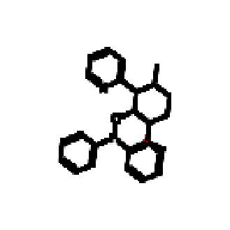 CC1CC[C@H](C(C)C)[C@@H](OP(c2ccccc2)c2ccccc2)C1c1ccccn1